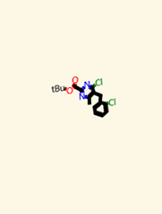 Cc1nc(C(=O)OC(C)(C)C)nc(Cl)c1Cc1ccccc1Cl